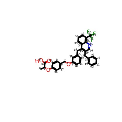 CC(Oc1ccc(COc2cccc(Cc3c(Cc4ccccc4)cnc4c(C(F)(F)F)cccc34)c2)cc1)C(=O)O